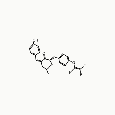 CC1CC(=Cc2ccc(O)cc2)C(=O)C(=Cc2ccc(OC(F)=C(F)F)cc2)C1